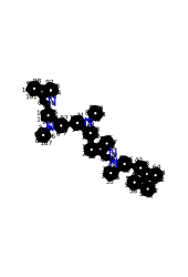 c1ccc(-n2c3ccc(-c4ccc5c(c4)c4cc(-c6cccc7c6-c6cccc8nc(-n9c%10ccccc%10c%10cc(-c%11ccc%12c(c%11)C(c%11ccccc%11)(c%11ccccc%11)c%11ccccc%11-%12)ccc%109)cc-7c68)ccc4n5-c4ccccc4)cc3c3cc(-c4cc5c6c(cccc6n4)-c4ccccc4-5)ccc32)cc1